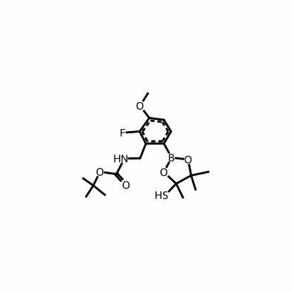 COc1ccc(B2OC(C)(C)C(C)(S)O2)c(CNC(=O)OC(C)(C)C)c1F